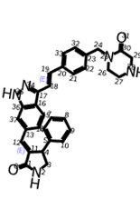 O=C1NCC(c2ccccc2)/C1=C\c1ccc2c(/C=C/c3ccc(CN4CCNCC4=O)cc3)n[nH]c2c1